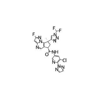 C[C@]1(c2cn(C(F)F)nn2)C[C@@H](C(=O)Nc2cnc(-n3nccn3)c(Cl)c2)c2cnc3cc(F)nn3c21